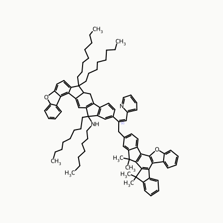 CCCCCCCCC1(NCCCCCCC)C2=C(CC3C(=C2)c2c(ccc4oc5ccccc5c24)C3(CCCCCCCC)CCCCCCCC)c2ccc(/C(=C\c3ccccn3)Cc3ccc4c(c3)C(C)(C)c3c5c(c6c(oc7ccccc76)c3-4)-c3ccccc3C5(C)C)cc21